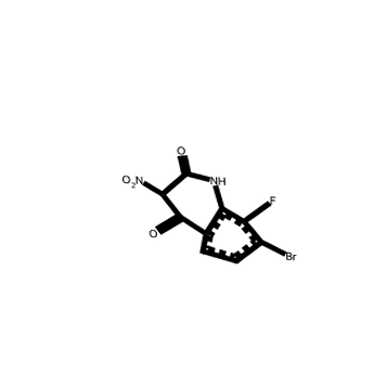 O=C1Nc2c(ccc(Br)c2F)C(=O)C1[N+](=O)[O-]